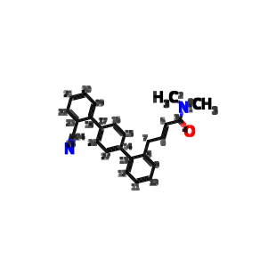 CN(C)C(=O)C=CCc1ccccc1-c1ccc(-c2ccccc2C#N)cc1